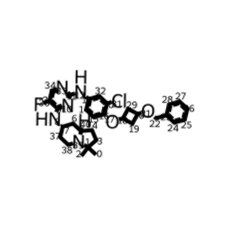 CC1(C)CC[C@H]2C[C@@H](Nc3nc(Nc4ccc(OC5CC(OCc6ccccc6)C5)c(Cl)c4)ncc3F)CCN21